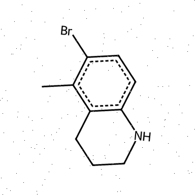 Cc1c(Br)ccc2c1CCCN2